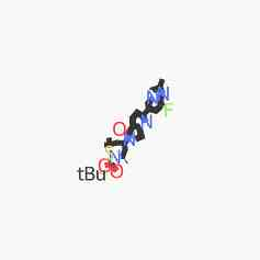 Cc1cn2cc(-c3ccc4c(=O)n(C5C[C@H](C)N(C(=O)OC(C)(C)C)SC(C)(C)C5)ccc4n3)cc(F)c2n1